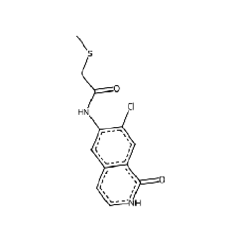 CSCC(=O)Nc1cc2cc[nH]c(=O)c2cc1Cl